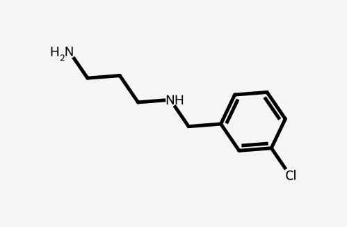 NCCCNCc1cccc(Cl)c1